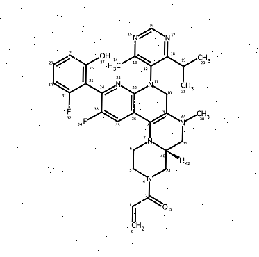 C=CC(=O)N1CCN2C3=C(CN(c4c(C)ncnc4C(C)C)c4nc(-c5c(O)cccc5F)c(F)cc43)N(C)C[C@@H]2C1